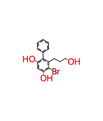 OCCCc1c(Br)c(O)cc(O)c1-c1ccccc1